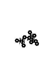 Cc1c(-c2cccc(-c3nc(-c4ccccc4)nc(-c4ccccc4)n3)c2)cc2c3c1-c1cccc4c5c6ccccc6ccc5n(c14)B3c1ccccc1N2c1ccccc1